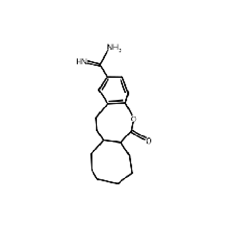 N=C(N)c1ccc2c(c1)CCC1CCCCCCC1C(=O)O2